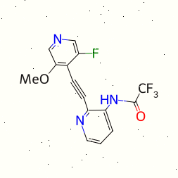 COc1cncc(F)c1C#Cc1ncccc1NC(=O)C(F)(F)F